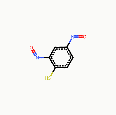 O=Nc1ccc(S)c(N=O)c1